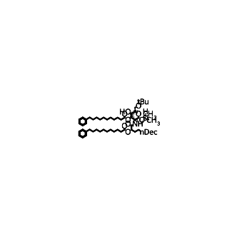 CCCCCCCCCCCCC(OC(=O)CCCCCCCCCCc1ccccc1)C(=O)N[C@H]1C(O[SiH](C)C)O[C@H](COC(C)(C)C)[C@@H](O)[C@@H]1OC(=O)CCCCCCCCCCc1ccccc1